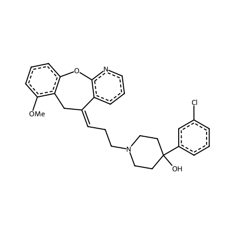 COc1cccc2c1C/C(=C/CCN1CCC(O)(c3cccc(Cl)c3)CC1)c1cccnc1O2